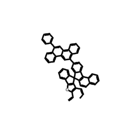 C=Cc1oc2c(c1/C=C\C)C1(c3ccccc3-2)c2cc(-c3cc4c5ccccc5c(-c5ccccc5)cc4c4ccccc34)ccc2-c2c1ccc1ccccc21